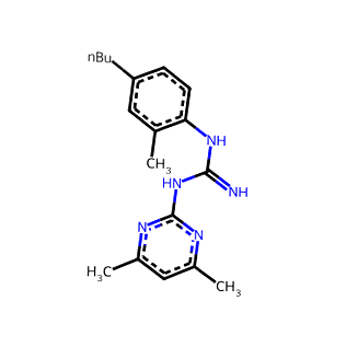 CCCCc1ccc(NC(=N)Nc2nc(C)cc(C)n2)c(C)c1